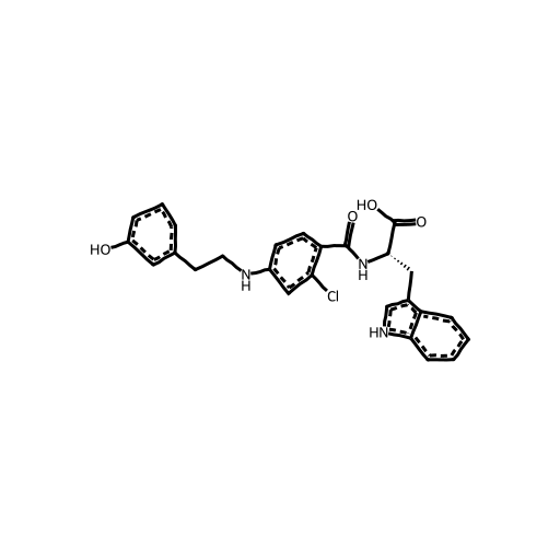 O=C(N[C@@H](Cc1c[nH]c2ccccc12)C(=O)O)c1ccc(NCCc2cccc(O)c2)cc1Cl